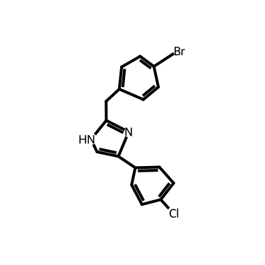 Clc1ccc(-c2c[nH]c(Cc3ccc(Br)cc3)n2)cc1